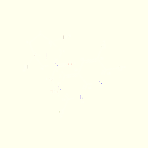 CC(C)(C)OC(=O)N1[C@@H]2CC[C@H]1CN(c1nc(Cl)nc3nc(Cl)c(Cl)cc13)C2